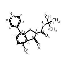 CC(C)(C)OC(=O)N1Cc2c(-c3ccncc3)ccc(Br)c2C1=O